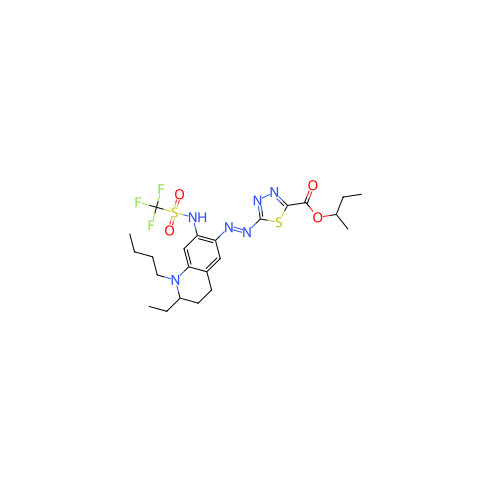 CCCCN1c2cc(NS(=O)(=O)C(F)(F)F)c(N=Nc3nnc(C(=O)OC(C)CC)s3)cc2CCC1CC